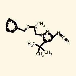 C[C@H](Cn1nc(N=C=S)cc1C(C)(C)C)OCc1ccccc1